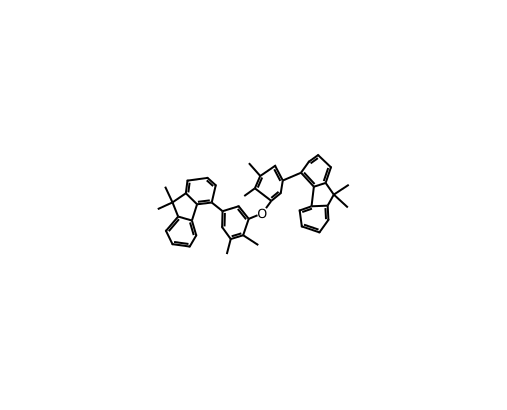 Cc1cc(-c2cccc3c2-c2ccccc2C3(C)C)cc(Oc2cc(-c3cccc4c3-c3ccccc3C4(C)C)cc(C)c2C)c1C